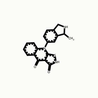 CC1NCc2ccc(-n3c4ccccc4c(=O)c4c(=O)[nH]sc43)cc21